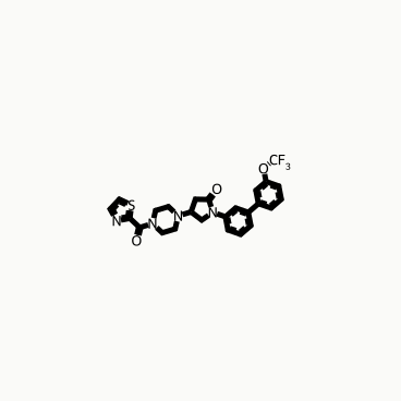 O=C(c1nccs1)N1CCN(C2CC(=O)N(c3cccc(-c4cccc(OC(F)(F)F)c4)c3)C2)CC1